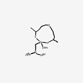 CCCCN(CCCC)C[Si]1(OC)OC(C)COCC(C)O1